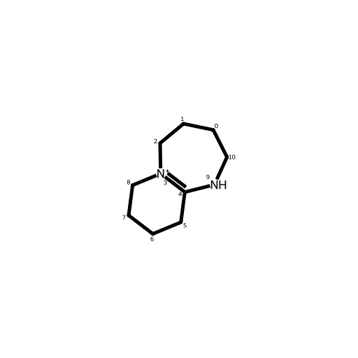 C1CC[N+]2=C(CCCC2)NC1